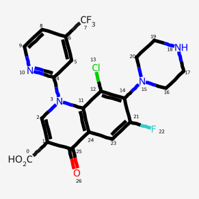 O=C(O)c1cn(-c2cc(C(F)(F)F)ccn2)c2c(Cl)c(N3CCNCC3)c(F)cc2c1=O